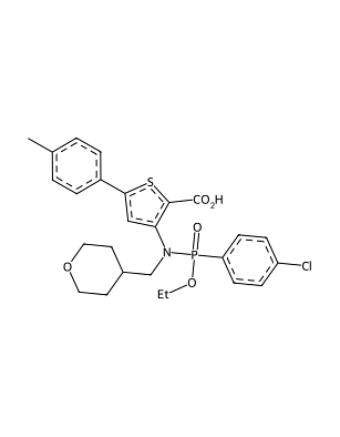 CCOP(=O)(c1ccc(Cl)cc1)N(CC1CCOCC1)c1cc(-c2ccc(C)cc2)sc1C(=O)O